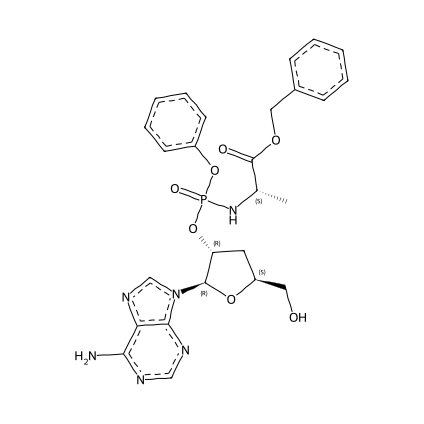 C[C@H](NP(=O)(Oc1ccccc1)O[C@@H]1C[C@@H](CO)O[C@H]1n1cnc2c(N)ncnc21)C(=O)OCc1ccccc1